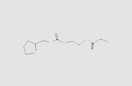 CCC(=O)OCCNC(=O)OCC1CCCO1